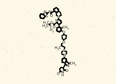 Cc1c(OC2CCC(OC[C@H](C)CN3CCN(c4ccc5c(C6CCC(=O)NC6=O)nn(C)c5c4)CC3)CC2)cccc1-c1ccc(N2CCc3cccc(C(=O)Nc4nc5ccccc5s4)c3C2)nc1C(=O)OC(C)(C)C